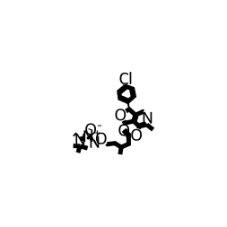 Cc1ncc2c(c1OC(=O)CC(C)CCO/N=[N+](\[O-])N(C)C(C)(C)C)CO[C@H]2c1ccc(Cl)cc1